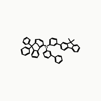 CC1(C)c2ccccc2-c2ccc(-c3cccc(N(C4=C5CC(=CC=C4)C(c4ccccc4)(c4ccccc4)c4ccccc45)c4cccc(-c5ccccc5)c4)c3)cc21